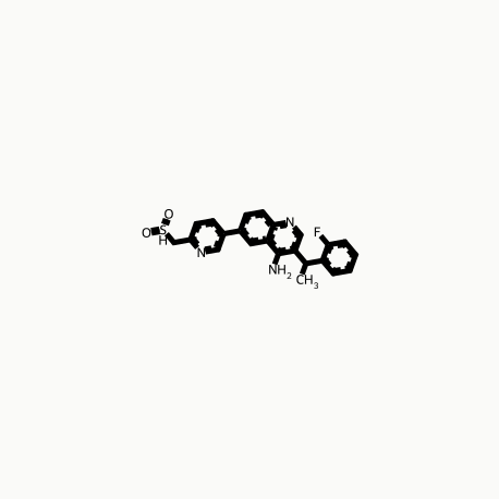 CC(c1ccccc1F)c1cnc2ccc(-c3ccc(C[SH](=O)=O)nc3)cc2c1N